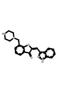 O=C1C(=Cc2n[nH]c3ccccc23)Oc2c(CN3CCNCC3)cccc21